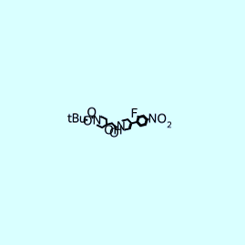 CC(C)(C)OC(=O)N1CCC(O)(CC(=O)N2CC=C(c3ccc([N+](=O)[O-])cc3F)CC2)CC1